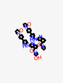 O=C(c1cccc2ncc(Nc3ccc(-c4ccc(N5CCCC5=O)cc4)cn3)cc12)N1CCC(O)C1.O=C(c1cccc2ncc(Nc3ccc(-c4ccc(N5CCCC5=O)cc4)cn3)cc12)N1CCCC1